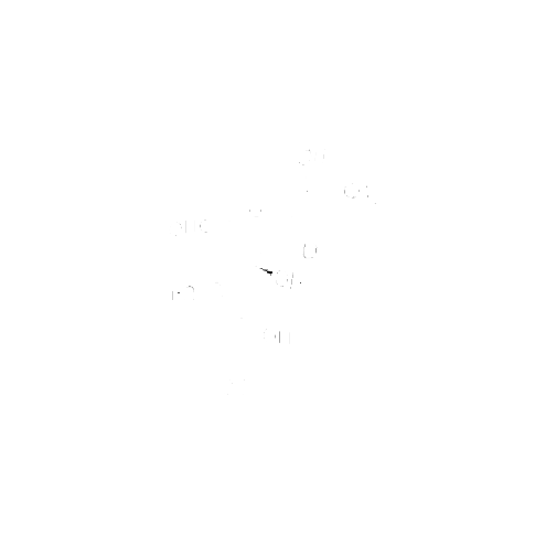 CC(O)C(=O)O[C@@H](C=O)[C@@H](O)[C@@H](O)[C@H](O)CO